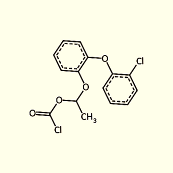 CC(OC(=O)Cl)Oc1ccccc1Oc1ccccc1Cl